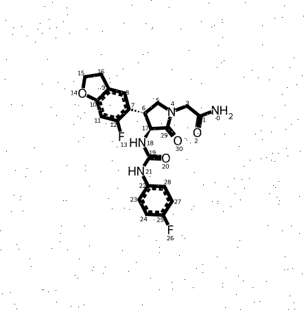 NC(=O)CN1C[C@@H](c2cc3c(cc2F)OCC3)[C@H](NC(=O)Nc2ccc(F)cc2)C1=O